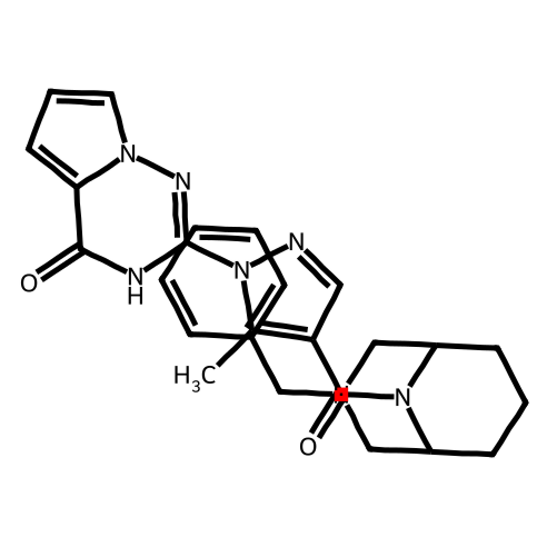 Cc1c(C(=O)N2C3CCCC2CN(Cc2ccccc2)C3)cnn1-c1nn2cccc2c(=O)[nH]1